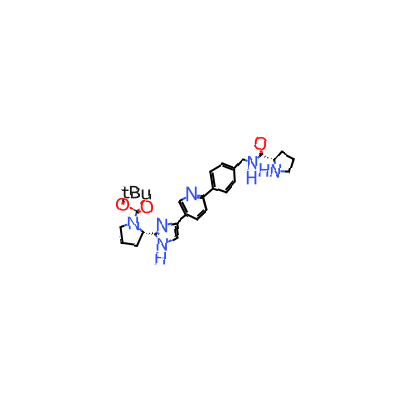 CC(C)(C)OC(=O)N1CCC[C@H]1c1nc(-c2ccc(-c3ccc(CNC(=O)[C@@H]4CCCN4)cc3)nc2)c[nH]1